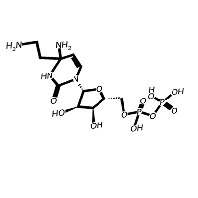 NCCC1(N)C=CN([C@@H]2O[C@H](COP(=O)(O)OP(=O)(O)O)[C@@H](O)[C@H]2O)C(=O)N1